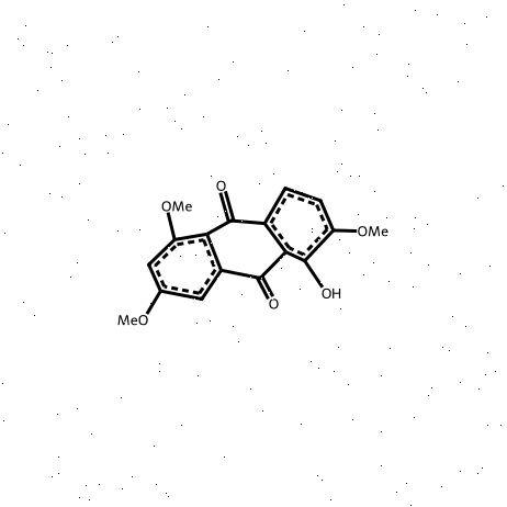 COc1cc(OC)c2c(c1)C(=O)c1c(ccc(OC)c1O)C2=O